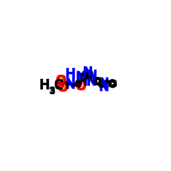 CS(=O)(=O)CCNCc1coc(-c2cc3c(Nc4ccc5c(cnn5Cc5ccccc5)c4)ncnc3cn2)c1